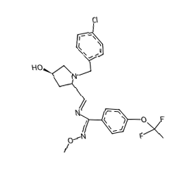 CO/N=C(\N=C\C1C[C@@H](O)CN1Cc1ccc(Cl)cc1)c1ccc(OC(C)(F)F)cc1